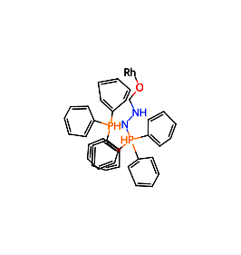 [Rh][O]CNN([PH](c1ccccc1)(c1ccccc1)c1ccccc1)[PH](c1ccccc1)(c1ccccc1)c1ccccc1